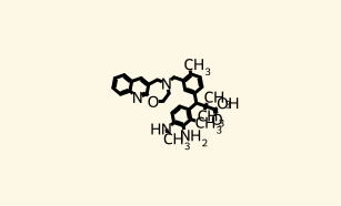 CNc1ccc(C(c2ccc(C)c(CN3CCOc4nc5ccccc5cc4C3)c2)C(C)(C)C(=O)O)c(C)c1N